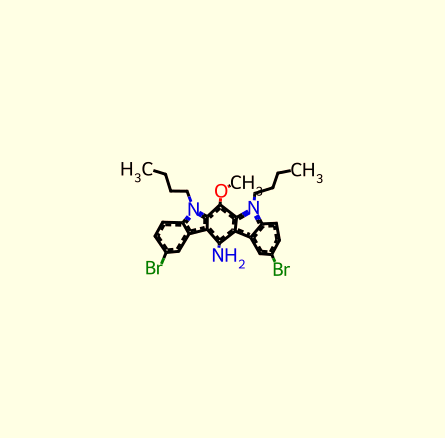 CCCCn1c2ccc(Br)cc2c2c(N)c3c4cc(Br)ccc4n(CCCC)c3c(OC)c21